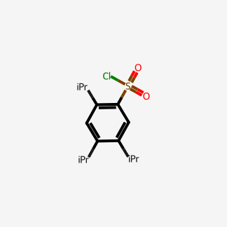 CC(C)c1cc(C(C)C)c(S(=O)(=O)Cl)cc1C(C)C